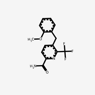 COc1ccccc1Cc1ccc(C(N)=O)nc1C(F)(F)F